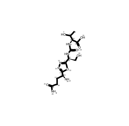 CC(O)[C@H](NC(=O)N[C@@H](CO)c1nnc([C@@H](N)CCC(N)=O)o1)C(=O)O